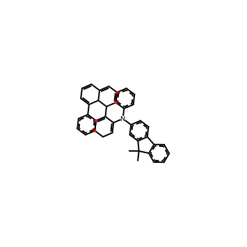 CC1(C)c2ccccc2-c2ccc(N(C3=CCCC=C3C3C=CC=C4C=CC=C(c5ccccc5)C43)c3ccccc3)cc21